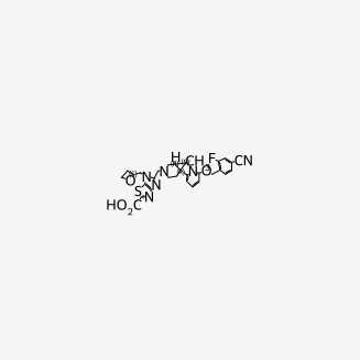 C[C@H]1[C@H]2CN(Cc3nc4nc(C(=O)O)sc4n3C[C@@H]3CCO3)CC[C@]21c1cccc(OCc2ccc(C#N)cc2F)n1